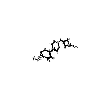 CN1CCC(N2CCN(CC3CN(I)C3)CC2)CC1